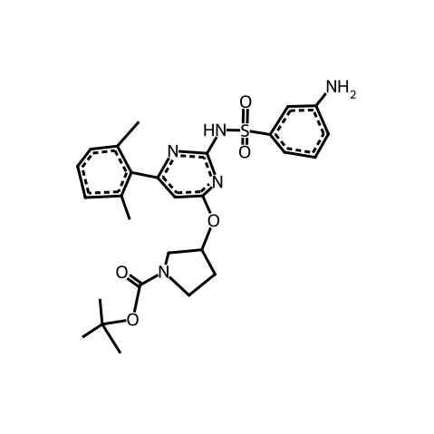 Cc1cccc(C)c1-c1cc(OC2CCN(C(=O)OC(C)(C)C)C2)nc(NS(=O)(=O)c2cccc(N)c2)n1